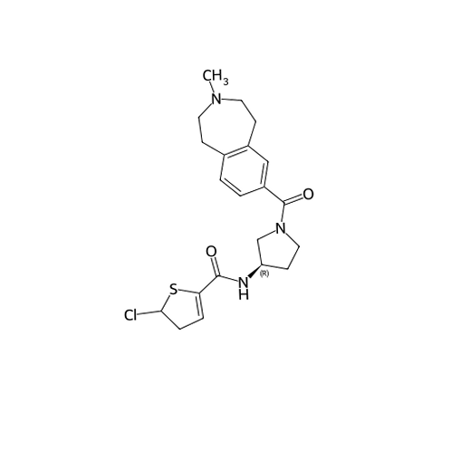 CN1CCc2ccc(C(=O)N3CC[C@@H](NC(=O)C4=CCC(Cl)S4)C3)cc2CC1